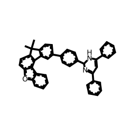 CC1(C)c2ccc(-c3ccc(C4N=C(c5ccccc5)C=C(c5ccccc5)N4)cc3)cc2-c2c1ccc1oc3ccccc3c21